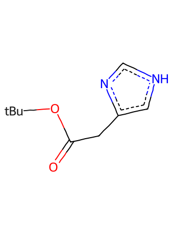 CC(C)(C)OC(=O)Cc1c[nH]cn1